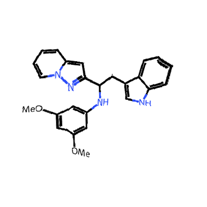 COc1cc(NC([CH]c2c[nH]c3ccccc23)c2cc3ccccn3n2)cc(OC)c1